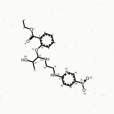 CCOC(=O)c1ccccc1OC(NCCNc1ccc([N+](=O)[O-])cn1)C(C)O